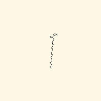 CCCCC=CC=CC=CCC(=O)O.[Li]